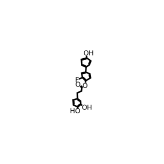 O=C(CCc1ccc(O)c(O)c1)Oc1ccc(-c2ccc(O)cc2)cc1F